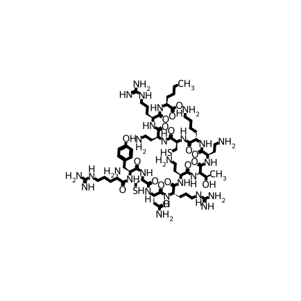 CCCC[C@H](NC(=O)[C@H](CCCNC(=N)N)NC(=O)[C@H](CCN)NC(=O)[C@H](CS)NC(=O)[C@H](CCCCN)NC(=O)[C@@H](CCN)NC(=O)[C@@H](NC(=O)[C@H](CCN)NC(=O)[C@H](CCCNC(=N)N)NC(=O)[C@H](CC(N)=O)NC(=O)[C@H](CS)NC(=O)[C@H](Cc1ccc(O)cc1)NC(=O)[C@@H](N)CCCNC(=N)N)[C@@H](C)O)C(=O)O